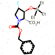 CC[Si](CC)(CC)O[C@@H]1[C@@H](F)CN(C(=O)OCc2ccccc2)[C@H]1C(=O)O